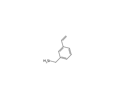 C=Cc1cccc(C[SiH3])c1